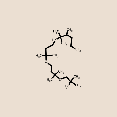 CCCC(C)C(C)(C)NCCC(C)(C)OCCC(C)(C)OCC(C)(C)C